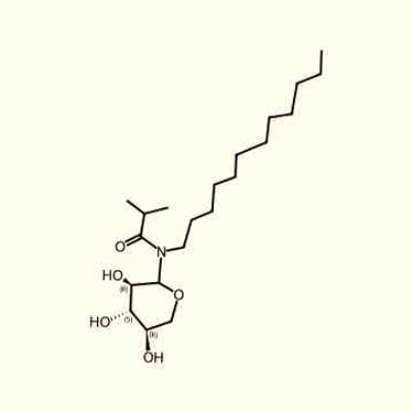 CCCCCCCCCCCCN(C(=O)C(C)C)C1OC[C@@H](O)[C@H](O)[C@H]1O